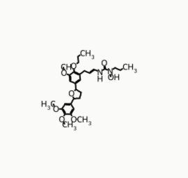 CCCOc1c(C/C=C/NC(=O)N(O)CCC)cc(C2CCC(c3cc(OC)c(OC)c(OC)c3)O2)cc1OC